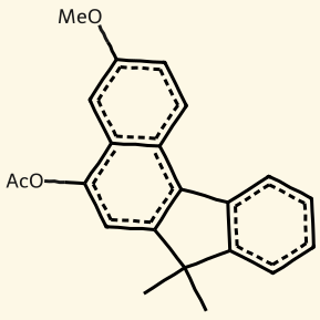 COc1ccc2c3c(cc(OC(C)=O)c2c1)C(C)(C)c1ccccc1-3